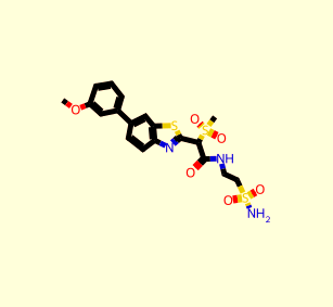 COc1cccc(-c2ccc3nc(C(C(=O)NCCS(N)(=O)=O)S(C)(=O)=O)sc3c2)c1